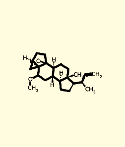 C=C[C@@H](C)[C@H]1CC[C@H]2[C@@H]3CC(OC)C45C[C@H]4CC[C@]5(C)[C@H]3CC[C@]12C